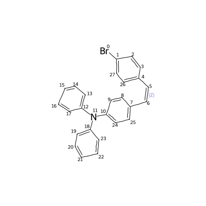 Brc1ccc(/C=C\c2ccc(N(c3ccccc3)c3ccccc3)cc2)cc1